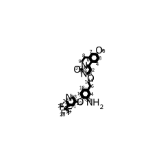 COc1ccc2c(c1)CCn1c-2cc(OCCc2ccc(Oc3cncc(C(F)(F)F)c3)c(N)c2)nc1=O